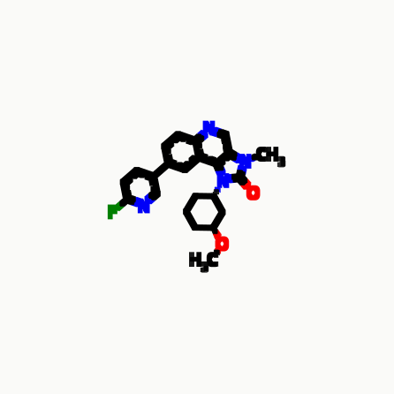 CO[C@H]1CCC[C@H](n2c(=O)n(C)c3cnc4ccc(-c5ccc(F)nc5)cc4c32)C1